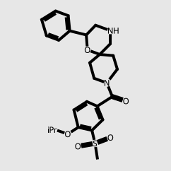 CC(C)Oc1ccc(C(=O)N2CCC3(CC2)CNCC(c2ccccc2)O3)cc1S(C)(=O)=O